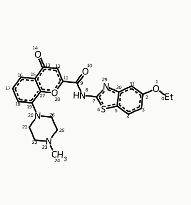 CCOc1ccc2sc(NC(=O)c3cc(=O)c4cccc(N5CCN(C)CC5)c4o3)nc2c1